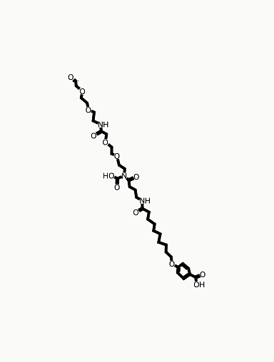 O=[C]COCCOCCNC(=O)COCCOCCN(C(=O)O)C(=O)CCCNC(=O)CCCCCCCCCOc1ccc(C(=O)O)cc1